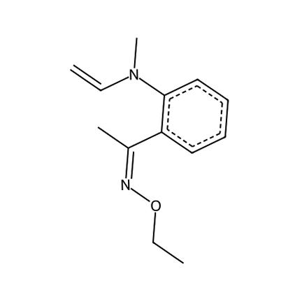 C=CN(C)c1ccccc1/C(C)=N\OCC